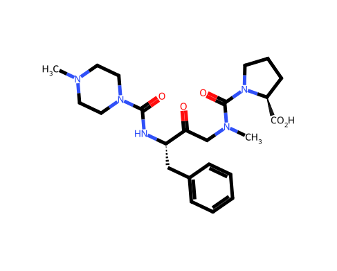 CN1CCN(C(=O)N[C@@H](Cc2ccccc2)C(=O)CN(C)C(=O)N2CCC[C@H]2C(=O)O)CC1